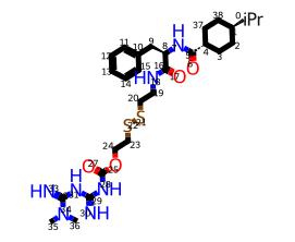 CC(C)[C@H]1CC[C@H](C(=O)N[C@H](Cc2ccccc2)C(=O)NCCSSCCOC(=O)NC(=N)NC(=N)N(C)C)CC1